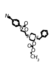 CCOC(=O)OC1CN(CC2CN(c3ccc(C#N)cc3)C(=O)O2)CCN1Cc1ccccc1